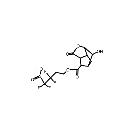 O=C(OCCC(F)(F)C(F)(F)S(=O)O)C1C2CC3C(OC(=O)C31)C2O